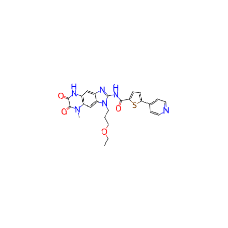 CCOCCCn1c(NC(=O)c2ccc(-c3ccncc3)s2)nc2cc3[nH]c(=O)c(=O)n(C)c3cc21